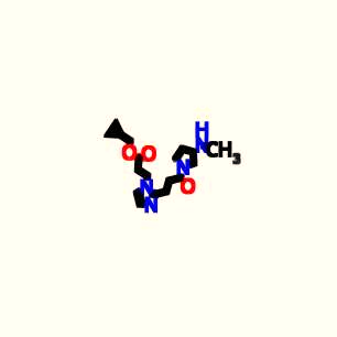 CN[C@H]1CCN(C(=O)CCc2nccn2CCC(=O)OCC2CC2)C1